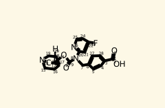 O=C(O)c1ccc(CN(C(=O)O[C@H]2CN3CCC2CC3)c2cc(F)ccn2)cc1